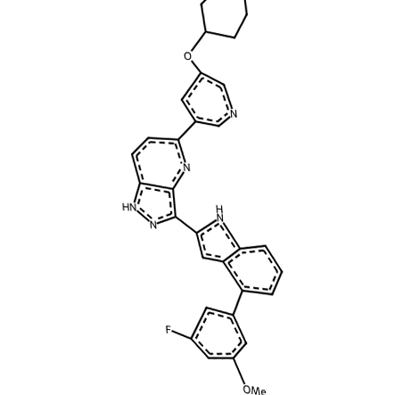 COc1cc(F)cc(-c2cccc3[nH]c(-c4n[nH]c5ccc(-c6cncc(OC7CCNCC7)c6)nc45)cc23)c1